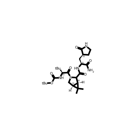 CC(C)(C)OC(=O)N[C@H](C(=O)N1C[C@H]2[C@@H](C1C(=O)N[C@@H](C[C@@H]1CCNC1=O)C(N)=O)C2(C)C)C(C)(C)C